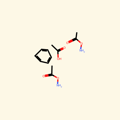 CC(=O)O.CC(=O)ON.CC(=O)ON.c1ccccc1